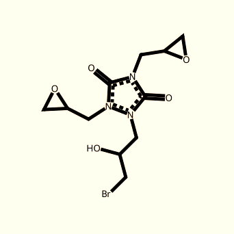 O=c1n(CC2CO2)c(=O)n(CC2CO2)n1CC(O)CBr